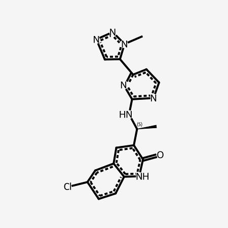 C[C@H](Nc1nccc(-c2cnnn2C)n1)c1cc2cc(Cl)ccc2[nH]c1=O